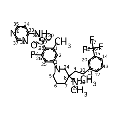 Cc1cc(N2CCCC(CCc3cccc(C(F)(F)F)c3)(N(C)C)C2)cc(F)c1S(=O)(=O)Nc1ccncn1